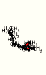 CCN(CC)c1ccc2c(-c3ccccc3C(=O)N3CCN(C(=O)CC[C@H](NC(=O)CCOCCOCCNC)C(=O)NCCOCCOCCC(=O)N[C@@H](CCCCNC(=O)CO[C@H]4CC[C@@]5(C)C(=CCC6C5CC[C@@]5(C)C6CC[C@@H]5C(C)CCCC(C)C)C4)C(N)=O)CC3)c3ccc(=[N+](CC)CC)cc-3oc2c1